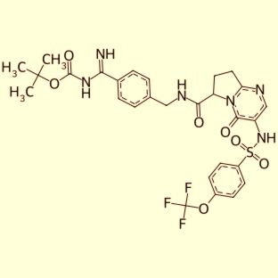 CC(C)(C)OC(=O)NC(=N)c1ccc(CNC(=O)C2CCc3ncc(NS(=O)(=O)c4ccc(OC(F)(F)F)cc4)c(=O)n32)cc1